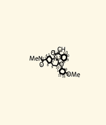 CNC(=O)c1ccc2c(c1)CC[C@H](Oc1cccc(OC)c1)CN2C(=O)[C@@H](C)c1ccccc1